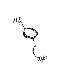 CCOC(=O)COc1c[c]c(C)cc1